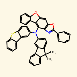 CC1(C)c2ccccc2-c2cc(N(c3ccc4sc5ccccc5c4c3)c3c4nc(-c5ccccc5)oc4cc4oc5ccccc5c34)ccc21